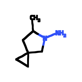 CC1CC2(CC2)CN1N